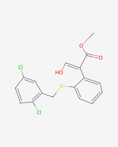 COC(=O)/C(=C/O)c1ccccc1SCc1cc(Cl)ccc1Cl